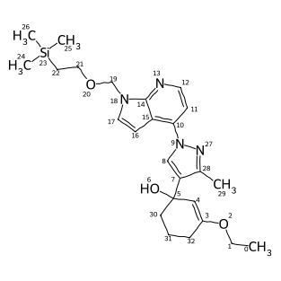 CCOC1=CC(O)(c2cn(-c3ccnc4c3ccn4COCC[Si](C)(C)C)nc2C)CCC1